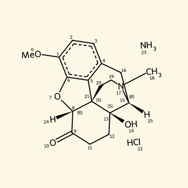 COc1ccc2c3c1O[C@H]1C(=O)CC[C@@]4(O)[C@@H](C2)N(C)CC[C@]314.Cl.N